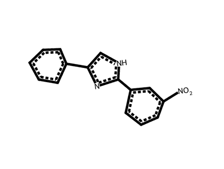 O=[N+]([O-])c1cccc(-c2nc(-c3ccccc3)c[nH]2)c1